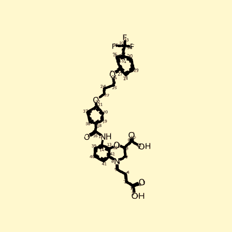 O=C(O)CCCN1CC(C(=O)O)Oc2c(NC(=O)c3ccc(OCCCOc4cccc(C(F)(F)F)c4)cc3)cccc21